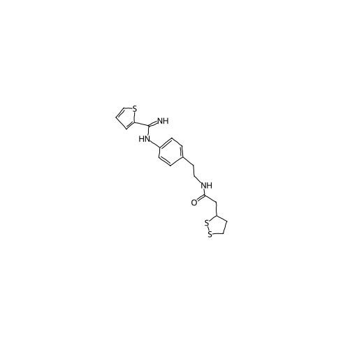 N=C(Nc1ccc(CCNC(=O)CC2CCSS2)cc1)c1cccs1